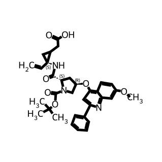 C=C[C@@]1(NC(=O)[C@@H]2C[C@@H](Oc3cc(-c4ccccc4)nc4cc(OC)ccc34)CN2C(=O)OC(C)(C)C)CC1CC(=O)O